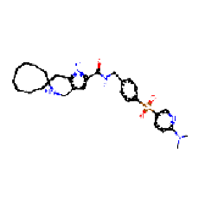 CN(C)c1ccc(S(=O)(=O)c2ccc(CNC(=O)c3cc4c([nH]3)CC3(CCCCCCCC3)NC4)cc2)cn1